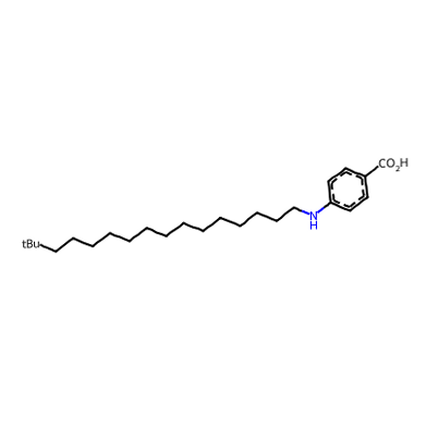 CC(C)(C)CCCCCCCCCCCCCCNc1ccc(C(=O)O)cc1